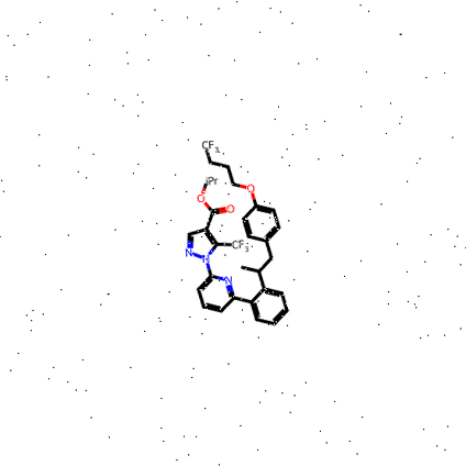 CC(C)OC(=O)c1cnn(-c2cccc(-c3ccccc3C(C)Cc3ccc(OCCCC(F)(F)F)cc3)n2)c1C(F)(F)F